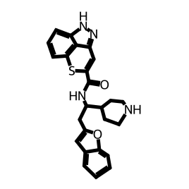 O=C(NC(Cc1cc2ccccc2o1)C1CCNCC1)C1=Cc2n[nH]c3cccc(c23)S1